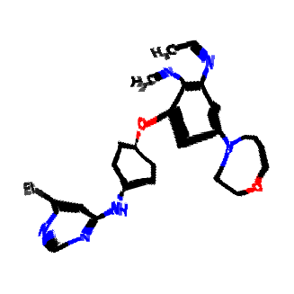 C=Nc1c(/N=C\C)cc(N2CCOCC2)cc1O[C@H]1CC[C@@H](Nc2cc(CC)ncn2)CC1